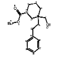 CC(C)(C)OC(=O)N1CCCC(CO)(CCc2ccccc2)C1